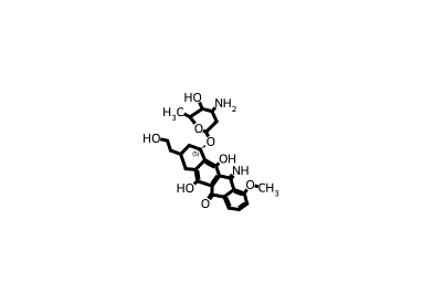 COc1cccc2c1C(=N)c1c(O)c3c(c(O)c1C2=O)CC(CCO)C[C@@H]3OC1CC(N)C(O)C(C)O1